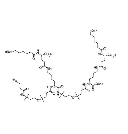 C#CCCC(=O)NC(C)(C)CCOC(C)(C)CCC(=O)N[C@@H](CCCCNC(=O)CCC(NC(=O)CCCCCCCCCCCCCCC)C(=O)O)C(=O)NC(C)(C)CCOC(C)(C)CCC(=O)N[C@@H](CCCCNC(=O)CCC(NC(=O)CCCCCCCCCCCCCCC)C(=O)O)C(=O)OC